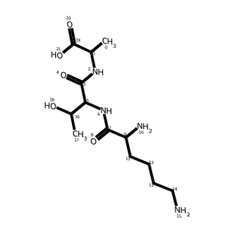 CC(NC(=O)C(NC(=O)C(N)CCCCN)C(C)O)C(=O)O